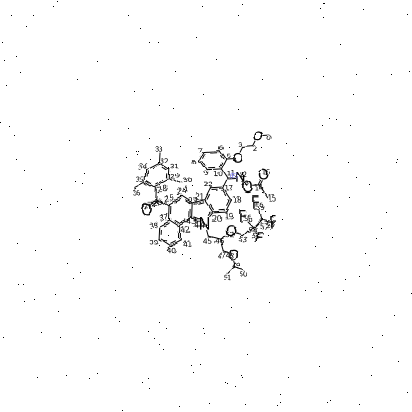 COCCOc1ccccc1/C(=N/OC(C)=O)c1ccc2c(c1)c1cc(C(=O)c3c(C)cc(C)cc3C)c3ccccc3c1n2CC(COC(C)C)OCC(F)(F)C(F)F